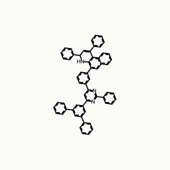 C1=C(c2ccccc2)c2c(c(-c3cccc(-c4cc(-c5cc(-c6ccccc6)cc(-c6ccccc6)c5)nc(-c5ccccc5)n4)c3)cc3ccccc23)NC1c1ccccc1